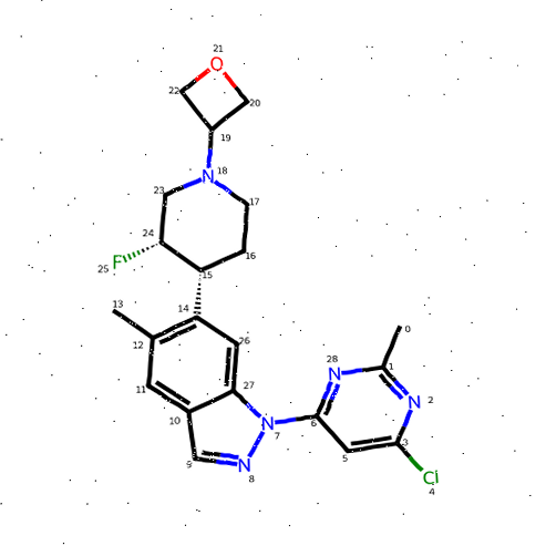 Cc1nc(Cl)cc(-n2ncc3cc(C)c([C@H]4CCN(C5COC5)C[C@H]4F)cc32)n1